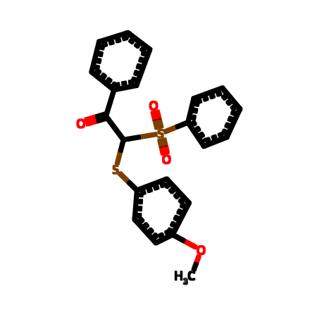 COc1ccc(SC(C(=O)c2ccccc2)S(=O)(=O)c2ccccc2)cc1